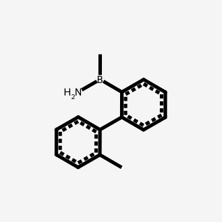 CB(N)c1ccccc1-c1ccccc1C